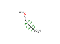 CCCCOCCCC(F)(F)C(F)(F)C(F)(F)C(F)(F)S(=O)(=O)O